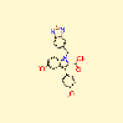 COc1ccc(-c2c(C(=O)O)n(Cc3ccc4nsnc4c3)c3ccc(OC)cc23)cc1